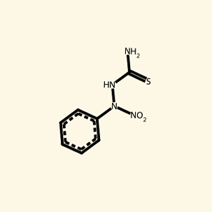 NC(=S)NN(c1ccccc1)[N+](=O)[O-]